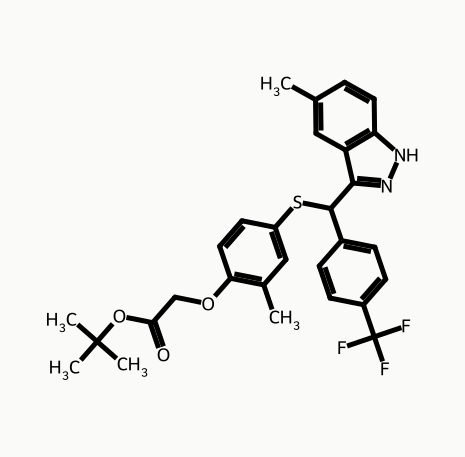 Cc1ccc2[nH]nc(C(Sc3ccc(OCC(=O)OC(C)(C)C)c(C)c3)c3ccc(C(F)(F)F)cc3)c2c1